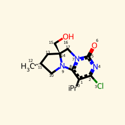 CC(C)c1c(Cl)nc(=O)n2c1N1C[C@H](C)C[C@]1(CO)C2